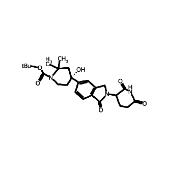 CC(C)(C)OC(=O)N1CC[C@](O)(c2ccc3c(c2)CN(C2CCC(=O)NC2=O)C3=O)CC1(C)C